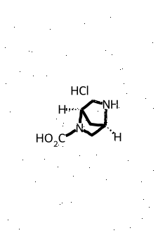 Cl.O=C(O)N1C[C@H]2C[C@@H]1CN2